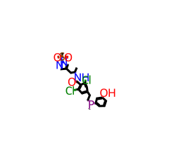 CC(Cc1cnn(S(C)(=O)=O)c1)NC(=O)c1c(Cl)cc(CCP(C)c2cccc(O)c2)cc1Cl